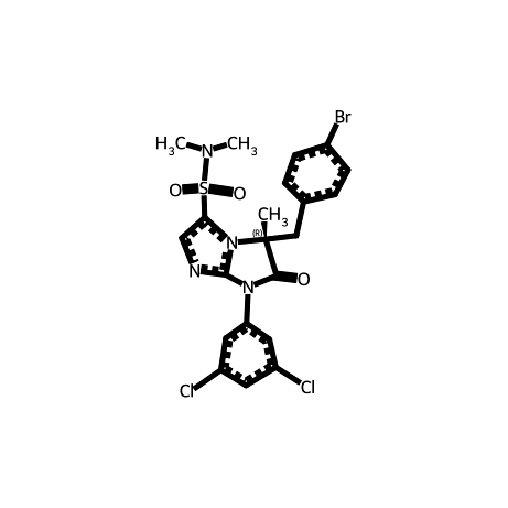 CN(C)S(=O)(=O)c1cnc2n1[C@](C)(Cc1ccc(Br)cc1)C(=O)N2c1cc(Cl)cc(Cl)c1